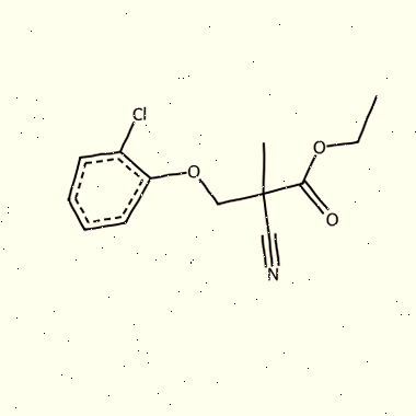 CCOC(=O)C(C)(C#N)COc1ccccc1Cl